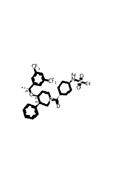 CCS(=O)(=O)N[C@H]1CC[C@H](C(=O)N2CC[C@H](O[C@H](C)c3cc(C(F)(F)F)cc(C(F)(F)F)c3)[C@H](c3ccccc3)C2)CC1